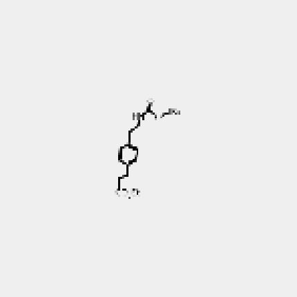 CCOC(=O)CCc1ccc(CCNC(=O)OC(C)(C)C)cc1